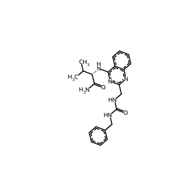 CC(C)[C@H](Nc1nc(CNC(=O)NCc2ccccc2)nc2ccccc12)C(N)=O